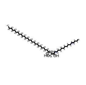 CCC/C=C/CCCCCCCC/C=C/[C@@H](O)[C@H](CO)NC(=O)CCCCCCCCCCCCCCCCCCCCCCCCC